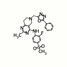 Cc1nc2c(c(Nc3ccc(S(C)(=O)=O)cc3F)n1)CN(Cc1nnc(-c3ccccc3)o1)CC2